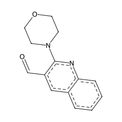 O=Cc1cc2ccccc2nc1N1CCOCC1